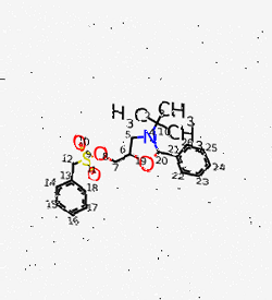 CC(C)(C)N1CC(COS(=O)(=O)Cc2ccccc2)OC1c1ccccc1